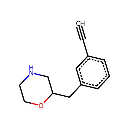 C#Cc1cccc(CC2CNCCO2)c1